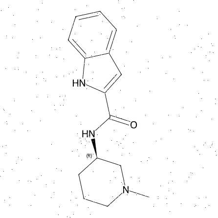 CN1CCC[C@@H](NC(=O)c2cc3ccccc3[nH]2)C1